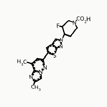 Cc1cn2nc(-c3cc4cn(C5CCN(C(=O)O)CC5F)nc4s3)cc(C)c2n1